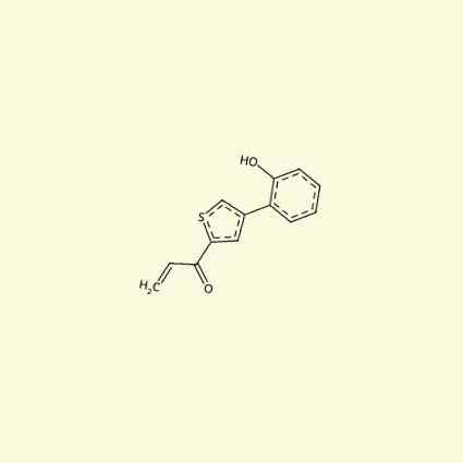 C=CC(=O)c1cc(-c2ccccc2O)cs1